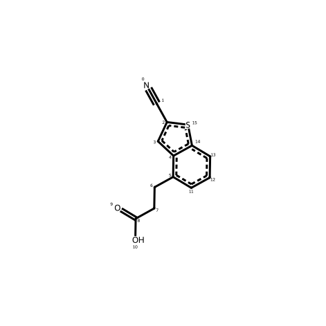 N#Cc1cc2c(CCC(=O)O)cccc2s1